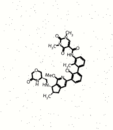 COc1nc(-c2cccc(-c3cccc(NC(=O)c4cn(C)c(=O)n(C)c4=O)c3C)c2Cl)cc2c1[C@@H](NC[C@@H]1COCC(=O)N1)[C@H](C)C2